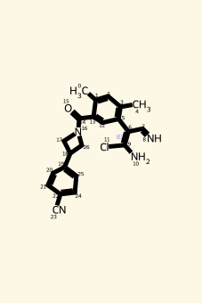 Cc1cc(C)c(/C(C=N)=C(/N)Cl)cc1C(=O)N1CC(c2ccc(C#N)cc2)C1